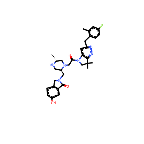 Cc1cc(F)ccc1Cc1cc2c(nn1)C(C)(C)CN2C(=O)CN1C[C@@H](C)NC[C@@H]1CN1Cc2ccc(O)cc2C1=O